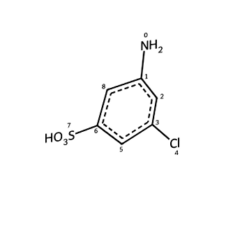 Nc1cc(Cl)cc(S(=O)(=O)O)c1